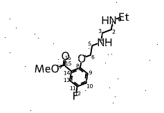 CCNCCNCCOc1ccc(F)cc1C(=O)OC